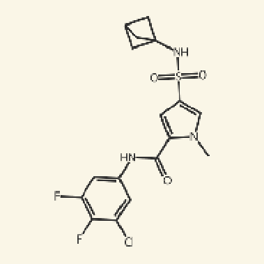 Cn1cc(S(=O)(=O)NC23CC(C2)C3)cc1C(=O)Nc1cc(F)c(F)c(Cl)c1